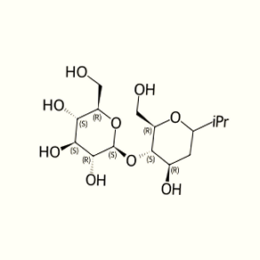 CC(C)C1C[C@@H](O)[C@H](O[C@@H]2O[C@H](CO)[C@@H](O)[C@H](O)[C@H]2O)[C@@H](CO)O1